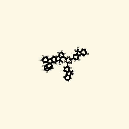 CC1(C)c2ccccc2-c2ccc(-c3nc(-c4ccc5c(c4)C(C)(C)c4ccccc4-5)nc(-c4cccc5c4C(C)(C)c4cc6c(cc4-5)-c4ccccc4C64C5CC6CC(C5)CC4C6)n3)cc21